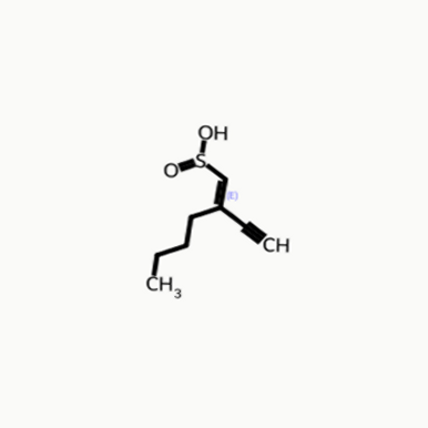 C#C/C(=C/S(=O)O)CCCC